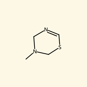 CN1CN=CSC1